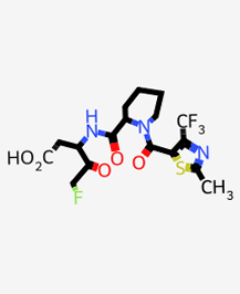 Cc1nc(C(F)(F)F)c(C(=O)N2CCCCC2C(=O)NC(CC(=O)O)C(=O)CF)s1